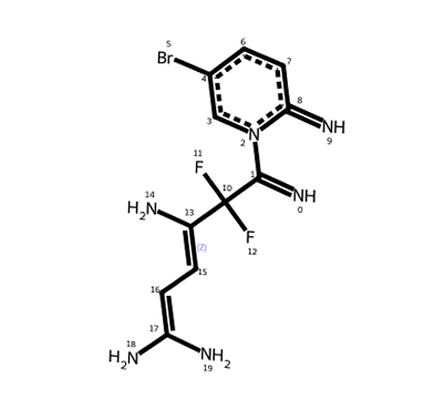 N=C(n1cc(Br)ccc1=N)C(F)(F)/C(N)=C/C=C(N)N